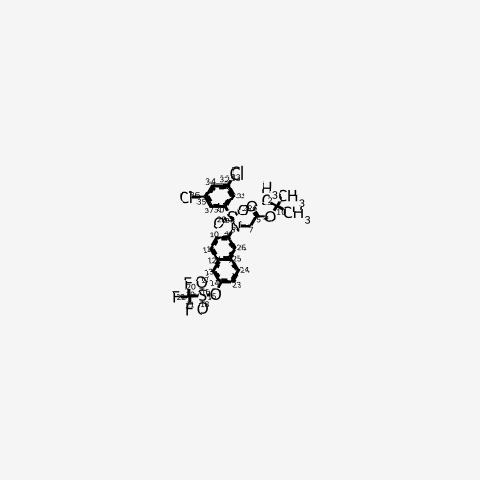 CC(C)(C)OC(=O)CN(c1ccc2cc(OS(=O)(=O)C(F)(F)F)ccc2c1)S(=O)(=O)c1cc(Cl)cc(Cl)c1